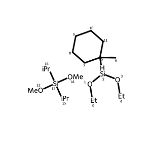 CCO[SiH](OCC)C1(C)CCCCC1.CO[Si](OC)(C(C)C)C(C)C